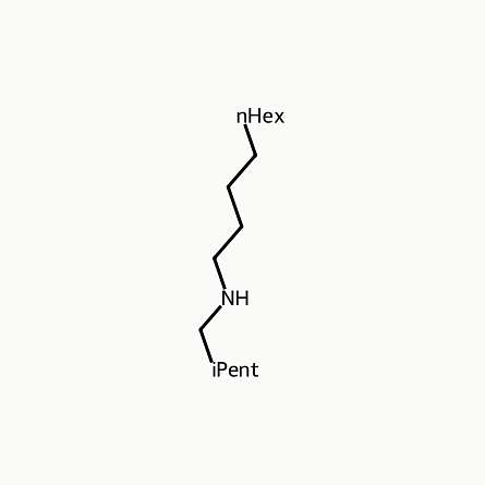 CCCCCCCCCCNCC(C)CCC